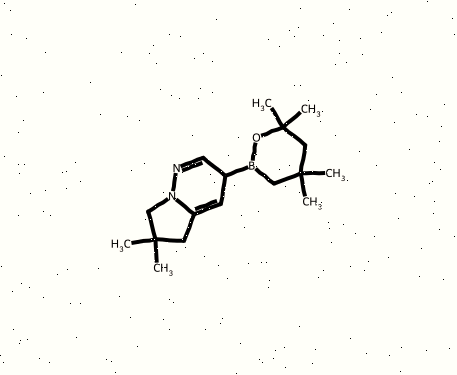 CC1(C)CC2=CC(B3CC(C)(C)CC(C)(C)O3)C=NN2C1